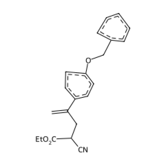 C=C(CC(C#N)C(=O)OCC)c1ccc(OCc2ccccc2)cc1